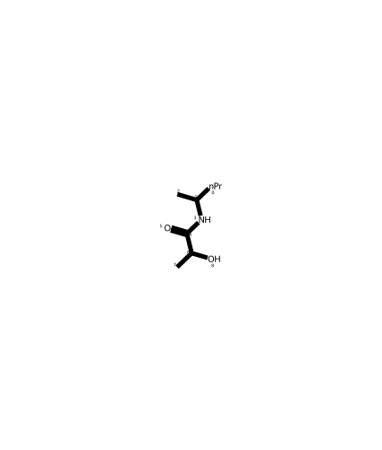 CCCC(C)NC(=O)C(C)O